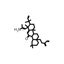 C=CC(=C)CCC12CCC3C(C(=O)C=C4C(C)(/C=C(\C)N)C(C(C)(C)C=C)CCC43C)C1CC(C)(C)CC2